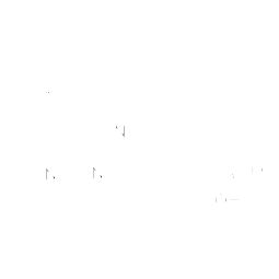 CC1=CC(C)(C)Cc2c1ncnc2N1CCOc2ccc(B(O)O)cc2C1